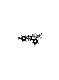 CCOC(=O)c1nc(-c2ccc(F)cc2)oc1-c1ccccc1[N+](=O)[O-]